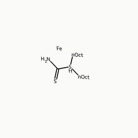 CCCCCCCC[SH](CCCCCCCC)C(N)=S.[Fe]